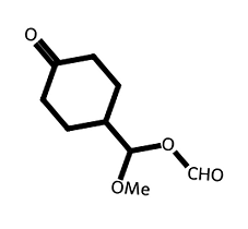 COC(OC=O)C1CCC(=O)CC1